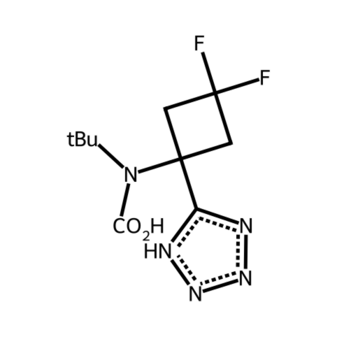 CC(C)(C)N(C(=O)O)C1(c2nnn[nH]2)CC(F)(F)C1